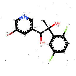 C[C@@](O)(c1cc(F)ccc1F)C(O)c1cncc(Br)c1